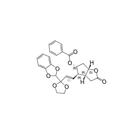 O=C1C[C@@H]2[C@@H](/C=C/C3(C4Oc5ccccc5O4)OCCO3)[C@H](OC(=O)c3ccccc3)C[C@@H]2O1